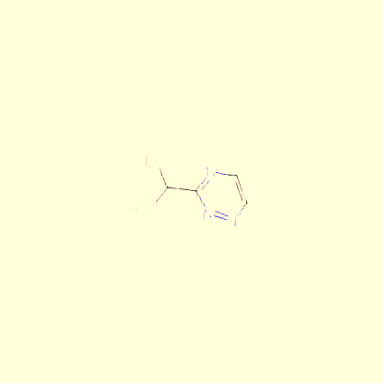 CCC(C)c1nc[c]nn1